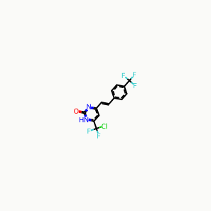 O=c1nc(/C=C/c2ccc(C(F)(F)F)cc2)cc(C(F)(F)Cl)[nH]1